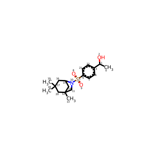 CC(O)c1ccc(S(=O)(=O)N2CC3(C)CC2CC(C)(C)C3)cc1